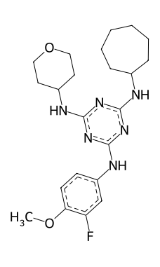 COc1ccc(Nc2nc(NC3CCCCCC3)nc(NC3CCOCC3)n2)cc1F